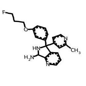 Cc1cc(C2(c3cccc(OCCCF)c3)NC(N)c3ncccc32)ccn1